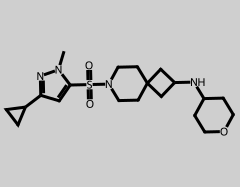 Cn1nc(C2CC2)cc1S(=O)(=O)N1CCC2(CC1)CC(NC1CCOCC1)C2